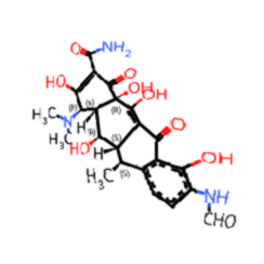 C[C@@H]1c2ccc(NC=O)c(O)c2C(=O)C2=C(O)[C@@]3(O)C(=O)C(C(N)=O)=C(O)[C@H](N(C)C)[C@H]3[C@H](O)[C@H]21